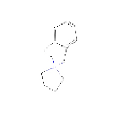 C[N+]1(Cc2ccccc2[N+](=O)[O-])C[CH]CC1